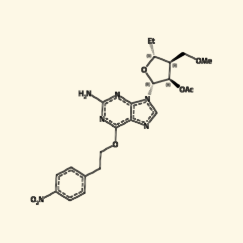 CC[C@H]1O[C@@H](n2cnc3c(OCCc4ccc([N+](=O)[O-])cc4)nc(N)nc32)[C@H](OC(C)=O)[C@@H]1COC